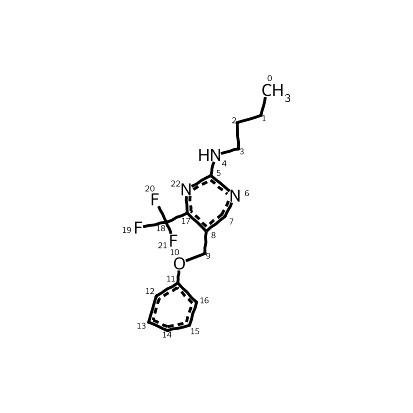 CCCCNc1ncc(COc2ccccc2)c(C(F)(F)F)n1